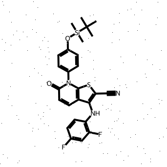 CC(C)(C)[Si](C)(C)Oc1ccc(-n2c(=O)ccc3c(Nc4ccc(F)cc4F)c(C#N)sc32)cc1